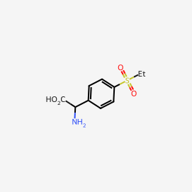 CCS(=O)(=O)c1ccc(C(N)C(=O)O)cc1